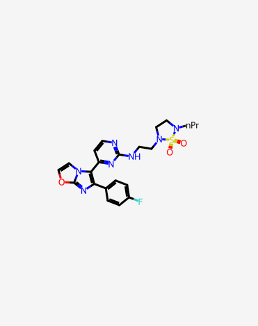 CCCN1CCN(CCNc2nccc(-c3c(-c4ccc(F)cc4)nc4occn34)n2)S1(=O)=O